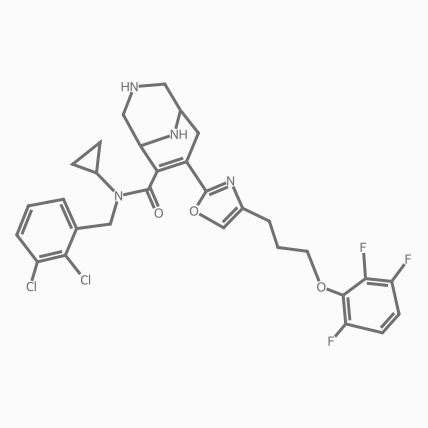 O=C(C1=C(c2nc(CCCOc3c(F)ccc(F)c3F)co2)CC2CNCC1N2)N(Cc1cccc(Cl)c1Cl)C1CC1